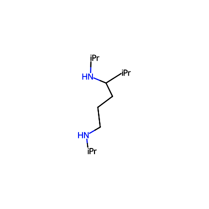 CC(C)NCCCC(NC(C)C)C(C)C